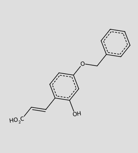 O=C(O)/C=C/c1ccc(OCc2ccccc2)cc1O